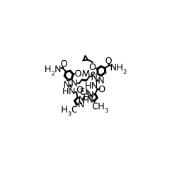 CCn1nc(C)cc1C(=O)Nc1nc2cc(C(N)=O)cc(OC)c2n1C/C=C/Cn1c(NC(=O)c2cc(C)nn2CC)nc2cc(C(N)=O)cc(OCC3CC3)c21